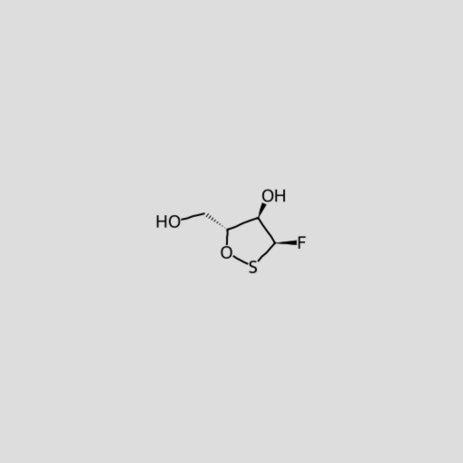 OC[C@H]1OS[C@H](F)[C@@H]1O